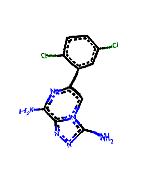 Nc1nc(-c2cc(Cl)ccc2Cl)cn2c(N)nnc12